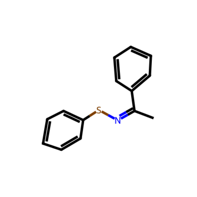 C/C(=N/Sc1ccccc1)c1ccccc1